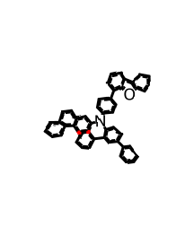 c1ccc(-c2ccc(N(c3ccc(-c4cccc5c4oc4ccccc45)cc3)c3ccc4c(ccc5ccccc54)c3)c(-c3ccccc3)c2)cc1